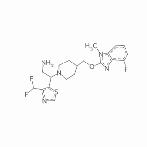 Cn1c(OCC2CCN(C(CN)c3scnc3C(F)F)CC2)nc2c(F)cccc21